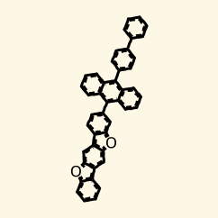 c1ccc(-c2ccc(-c3c4ccccc4c(-c4ccc5c(c4)oc4cc6c(cc45)oc4ccccc46)c4ccccc34)cc2)cc1